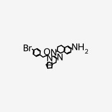 Nc1ccc2c(c1)CCc1nc(NC(=O)Cc3ccc(Br)cc3)c(CC3CCCC3)nc1-2